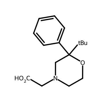 CC(C)(C)C1(c2ccccc2)CN(CC(=O)O)CCO1